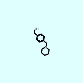 OCc1ccc(CN2CCCCC2)cc1